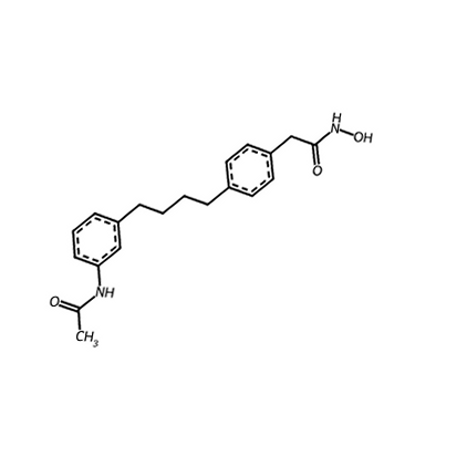 CC(=O)Nc1cccc(CCCCc2ccc(CC(=O)NO)cc2)c1